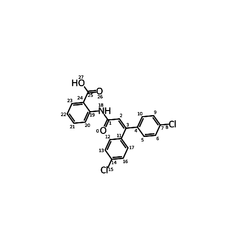 O=C(C=C(c1ccc(Cl)cc1)c1ccc(Cl)cc1)Nc1ccccc1C(=O)O